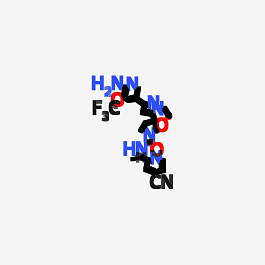 C[C@@H](NC(=O)N1CCC2(C1)OCCn1nc(-c3cnc(N)c(OC(F)(F)F)c3)cc12)c1cc(C#N)ccn1